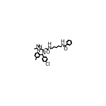 Cc1ccc2c(c1)C(c1ccc(Cl)cc1)=N[C@@H](CC(=O)NCCCCCNC(=O)c1ccccc1)c1nnc(C)n1-2